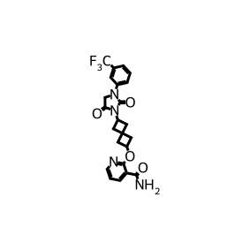 NC(=O)c1cccnc1OC1CC2(C1)CC(N1C(=O)CN(c3cccc(C(F)(F)F)c3)C1=O)C2